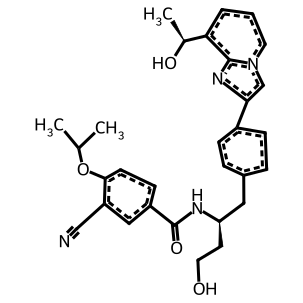 CC(C)Oc1ccc(C(=O)N[C@H](CCO)Cc2ccc(-c3cn4cccc([C@H](C)O)c4n3)cc2)cc1C#N